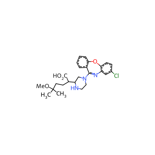 COC(C)(C)CCC(C(=O)O)C1CN(C2=Nc3cc(Cl)ccc3Oc3ccccc32)CCN1